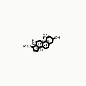 COC1CC[C@H]2[C@@H]3CCC4CC(O)CC[C@]4(COC(C)=O)[C@@H]3CC[C@]12C